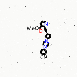 COC(=O)c1cccnc1C#C[C@H]1CC[C@@H](N2CCN(c3ccc(C#N)cc3)CC2)C1